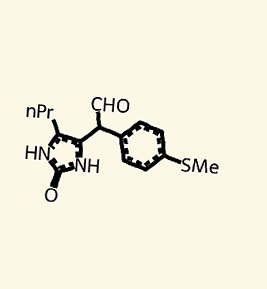 CCCc1[nH]c(=O)[nH]c1C(C=O)c1ccc(SC)cc1